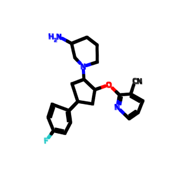 N#Cc1cccnc1OC1CC(c2ccc(F)cc2)CC1N1CCCC(N)C1